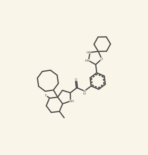 CC1CCC(F)C2(C3CCCCCCC3)CC(C(=O)Nc3cccc(C4NNC5(CCCCC5)O4)c3)NC12